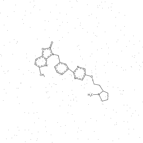 Cc1ccc2oc(=O)n(Cc3cccc(-c4ncc(OCCC5CCCN5C)cn4)c3)c2n1